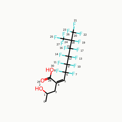 CC(O)CC(=CC(F)(F)C(F)(F)C(F)(F)C(F)(F)C(F)(C(F)(F)F)C(F)(F)F)C(=O)O